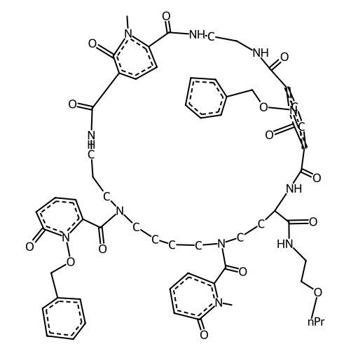 CCCOCCNC(=O)C1CCN(C(=O)c2cccc(=O)n2C)CCCCN(C(=O)c2cccc(=O)n2OCc2ccccc2)CCCNC(=O)c2ccc(n(C)c2=O)C(=O)NCCNC(=O)c2ccc(c(=O)n2OCc2ccccc2)C(=O)N1